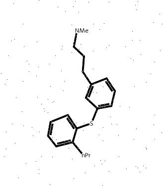 CCCc1ccccc1Sc1cccc(CCCNC)c1